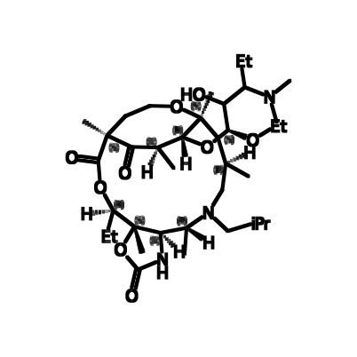 CCO[C@@H](O[C@@H]1[C@@H](C)C(=O)[C@]2(C)CCO[C@@]1(C)C[C@@H](C)CN(CC(C)C)[C@H](C)[C@H]1NC(=O)O[C@]1(C)[C@@H](CC)OC2=O)C(O)C(CC)N(C)C